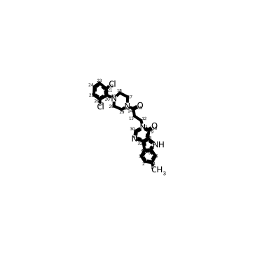 Cc1ccc2c(c1)[nH]c1c(=O)n(CCC(=O)N3CCN(c4c(Cl)cccc4Cl)CC3)cnc12